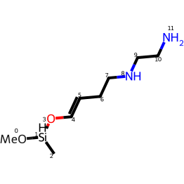 CO[SiH](C)OC=CCCNCCN